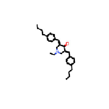 CCCCc1ccc(C=C2CN(CC)CC(=Cc3ccc(CCCC)cc3)C2=O)cc1